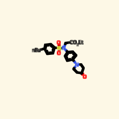 CCCCc1ccc(S(=O)(=O)N(CC(=O)OCC)c2ccc(N3CCC(=O)CC3)cc2)cc1